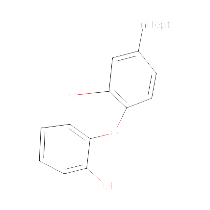 CCCCCCCc1ccc(Oc2ccccc2O)c(O)c1